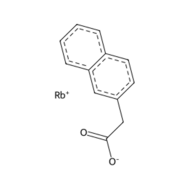 O=C([O-])Cc1ccc2ccccc2c1.[Rb+]